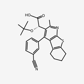 Cc1nc2sc3c(c2c(-c2cccc(C#N)c2)c1[C@H](OC(C)(C)C)C(=O)O)CCCC3